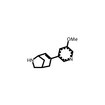 COc1cncc(C2=CC3CC(CN3)C2)c1